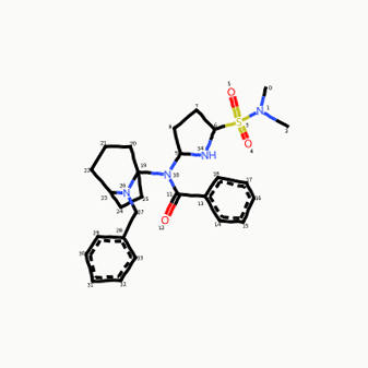 CN(C)S(=O)(=O)C1CCC(N(C(=O)c2ccccc2)C23CCCC(CC2)N3Cc2ccccc2)N1